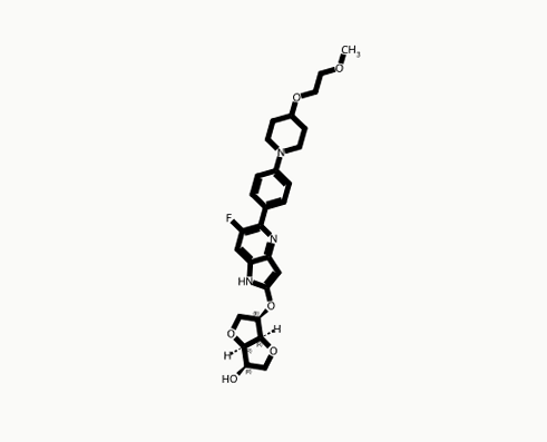 COCCOC1CCN(c2ccc(-c3nc4cc(O[C@@H]5CO[C@H]6[C@@H]5OC[C@H]6O)[nH]c4cc3F)cc2)CC1